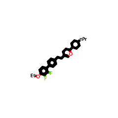 CCCC1CCC(C2CCC(CCc3ccc(-c4ccc(OCC)c(F)c4F)cc3)=CO2)CC1